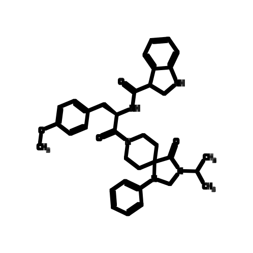 COc1ccc(C[C@@H](NC(=O)C2CNc3ccccc32)C(=O)N2CCC3(CC2)C(=O)N(C(C)C)CN3c2ccccc2)cc1